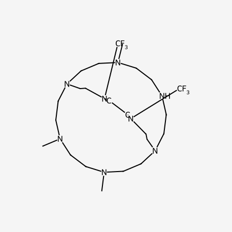 CN1CCN(C)CCN2CCN(C)CCNCCN(CC1)CCN(C(F)(F)F)CCN(C(F)(F)F)CC2